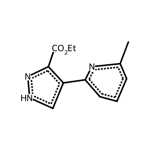 CCOC(=O)c1n[nH]cc1-c1cccc(C)n1